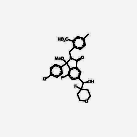 CO[C@]1(c2ccc(Cl)cc2)c2c(F)cc([C@@H](O)C3(F)CCOCC3)cc2C(=O)N1Cc1ccc(C)cc1C(=O)O